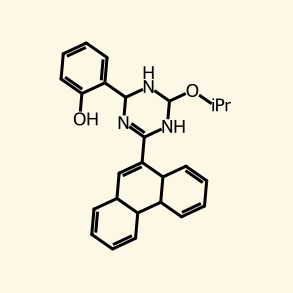 CC(C)OC1NC(C2=CC3C=CC=CC3C3C=CC=CC23)=NC(c2ccccc2O)N1